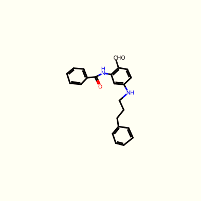 O=Cc1ccc(NCCCc2ccccc2)cc1NC(=O)c1ccccc1